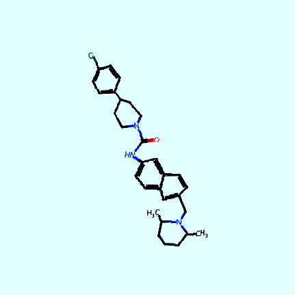 CC1CCCC(C)N1Cc1ccc2cc(NC(=O)N3CCC(c4ccc(Cl)cc4)CC3)ccc2c1